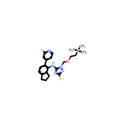 C[Si](C)(C)CCOCn1nc(S)nc1Nc1c(-c2ccnc(F)c2)ccc2c1CCC2